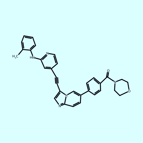 Cc1ccccc1Nc1cc(C#Cc2cnc3ccc(-c4ccc(C(=O)N5CCOCC5)cc4)cn23)ccn1